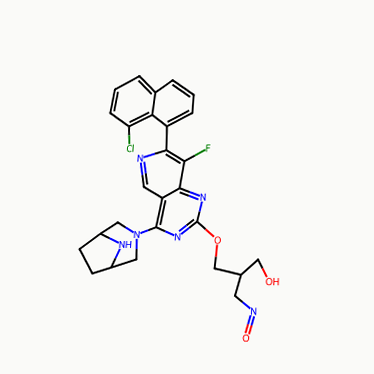 O=NCC(CO)COc1nc(N2CC3CCC(C2)N3)c2cnc(-c3cccc4cccc(Cl)c34)c(F)c2n1